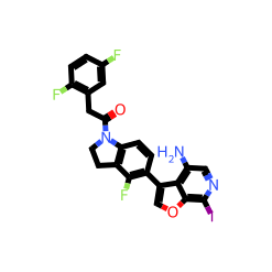 Nc1cnc(I)c2occ(-c3ccc4c(c3F)CCN4C(=O)Cc3cc(F)ccc3F)c12